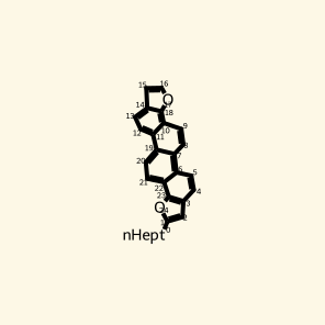 CCCCCCCc1cc2ccc3c4ccc5c(ccc6ccoc65)c4ccc3c2o1